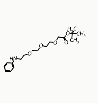 CC(C)(C)OC(=O)COCCOCCOCCNc1ccccc1